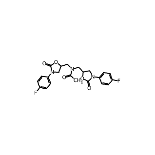 CC(=O)N(CC1CN(c2ccc(F)cc2)C(=O)O1)CC1CN(c2ccc(F)cc2)C(=O)O1